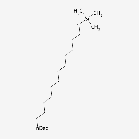 CCCCCCCCCCCCCCCCCCCCCC[CH][Si](C)(C)C